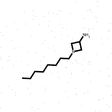 CCCCCCCCN1CC(N)C1